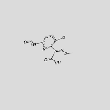 CON=C(C(=O)O)c1nc(NC=O)ccc1Cl